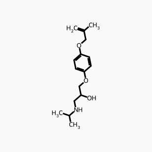 C=C(C)COc1ccc(OCC(O)CNC(C)C)cc1